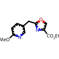 CCOC(=O)c1coc(Cc2ccc(OC)nc2)n1